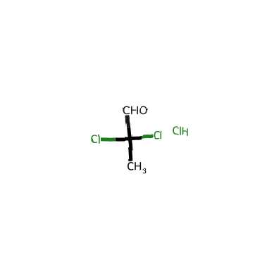 CC(Cl)(Cl)C=O.Cl